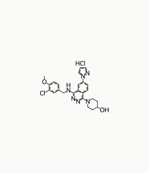 COc1ccc(CNc2nnc(N3CCC(O)CC3)c3ccc(-n4cccn4)cc23)cc1Cl.Cl